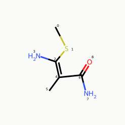 CSC(N)=C(C)C(N)=O